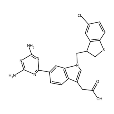 Nc1nc(N)nc(-c2ccc3c(CC(=O)O)cn(CC4CSc5ccc(Cl)cc54)c3c2)n1